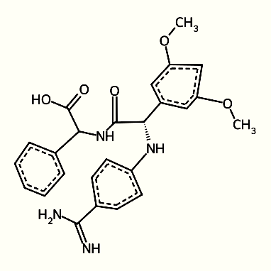 COc1cc(OC)cc([C@H](Nc2ccc(C(=N)N)cc2)C(=O)NC(C(=O)O)c2ccccc2)c1